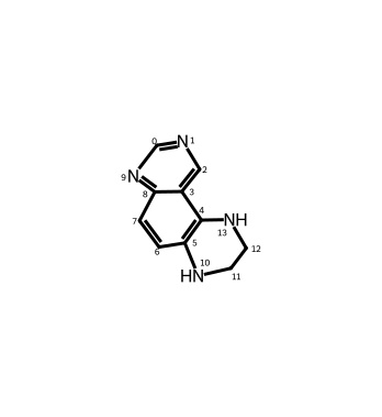 c1ncc2c3c(ccc2n1)NCCN3